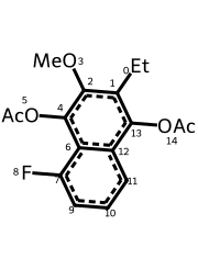 CCc1c(OC)c(OC(C)=O)c2c(F)cccc2c1OC(C)=O